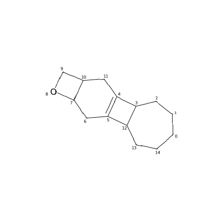 C1CCC2C3=C(CC4OCC4C3)C2CC1